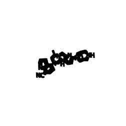 C[C@@H]1CN(c2ccc(C#N)c3ncccc23)C[C@@H]2c3ccc(N4CC5CNCC(C4)O5)nc3CN12